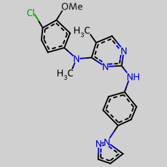 COc1cc(N(C)c2nc(Nc3ccc(-n4cccn4)cc3)ncc2C)ccc1Cl